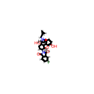 Cc1ccc(O)c2c1[C@]13C4CN(CC5CC5)[C@H]4[C@]1(O)CC[C@H](N1C(=O)c4ccc(F)cc4C1=O)[C@@H]3O2